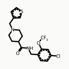 O=C(NCc1ccc(Cl)cc1OC(F)(F)F)C1CCN(Cc2ccsc2)CC1